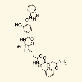 CC(C)[C@H](NC(=O)c1ccc(On2nnc3ccccc32)c(C#N)c1)C(=O)NCCC(=O)N[C@@H](Cc1ccccc1)C(=O)NCC(N)=O